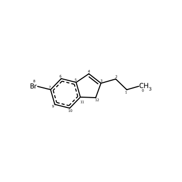 CCCC1=Cc2cc(Br)ccc2C1